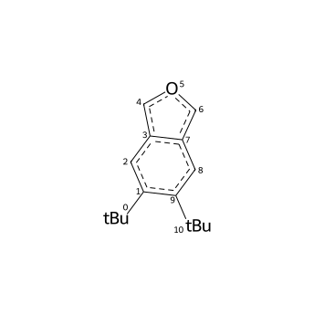 CC(C)(C)c1cc2cocc2cc1C(C)(C)C